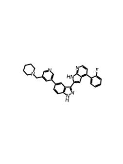 Fc1ccccc1-c1ccnc2[nH]c(-c3n[nH]c4ccc(-c5cncc(CN6CCCCC6)c5)cc34)cc12